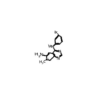 CN1Cc2ncnc(Nc3cccc(Br)c3)c2C=C1N